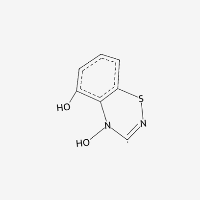 Oc1cccc2c1N(O)[C]=NS2